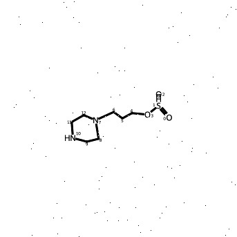 O=[SH](=O)OCCCN1CCNCC1